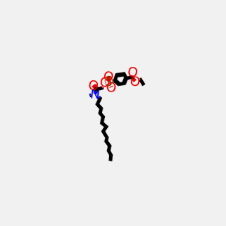 CCCCCCCCCCCCCCN(C)C(=O)COS(=O)(=O)c1ccc(C(=O)OCC)cc1